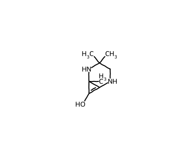 CC1(C)CNC2=C(O)C2(C)N1